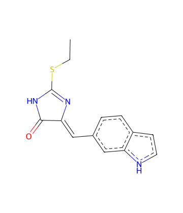 CCSC1=N/C(=C\c2ccc3cc[nH]c3c2)C(=O)N1